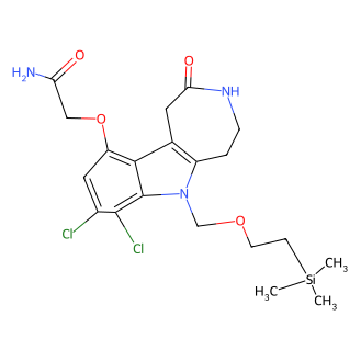 C[Si](C)(C)CCOCn1c2c(c3c(OCC(N)=O)cc(Cl)c(Cl)c31)CC(=O)NCC2